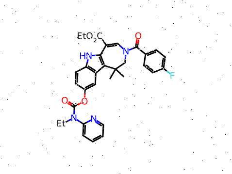 CCOC(=O)C1=CN(C(=O)c2ccc(F)cc2)CC(C)(C)c2c1[nH]c1ccc(OC(=O)N(CC)c3ccccn3)cc21